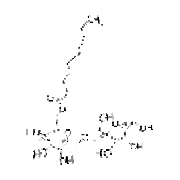 CCCCCCCCCC(=O)OCC1O[C@H](COC[C@]2(CO)O[C@@H](CO)C(O)C2O)C(O)C(O)[C@H]1O